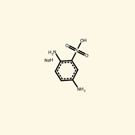 Nc1ccc(N)c(S(=O)(=O)O)c1.[NaH]